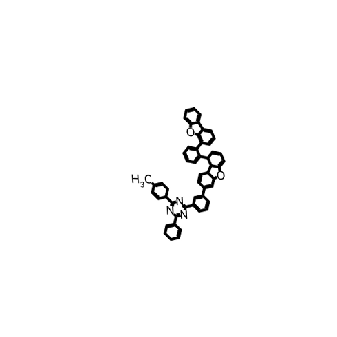 CC1=CCC(c2nc(C3=CCCC=C3)nc(-c3cccc(C4=CC5OC6=CC=CC(c7ccccc7-c7cccc8c7oc7ccccc78)C6C5C=C4)c3)n2)C=C1